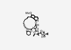 C=C[C@@H]1C[C@]1(NC(=O)C1C[C@@H]2CN1C(=O)[C@H](C1CCCCC1)NCCCCC/C=C/c1cc3c(nccc3cc1OC)O2)C(=O)NS(=O)(=O)C1CC1